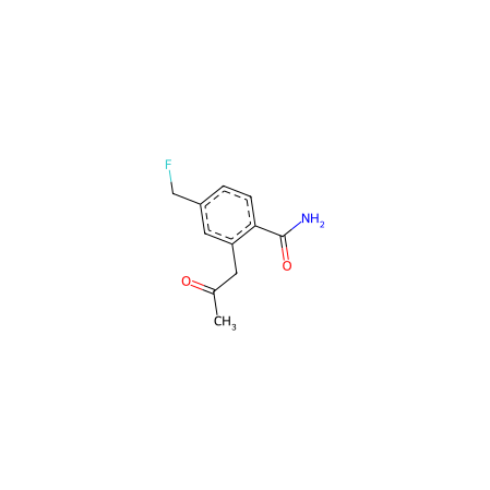 CC(=O)Cc1cc(CF)ccc1C(N)=O